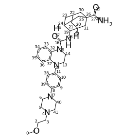 COCCN1CCN(c2ccc(N3CCN(C(=O)NC4[C@@H]5CC6C[C@H]4CC(C(N)=O)(C6)C5)c4ccccc43)cc2)CC1